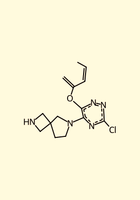 C=C(/C=C\C)Oc1nnc(Cl)nc1N1CCC2(CNC2)C1